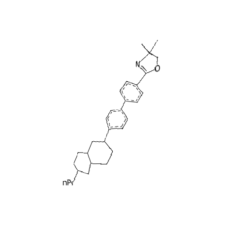 CCCC1CCC2CC(c3ccc(-c4ccc(C5=NC(C)(C)CO5)cc4)cc3)CCC2C1